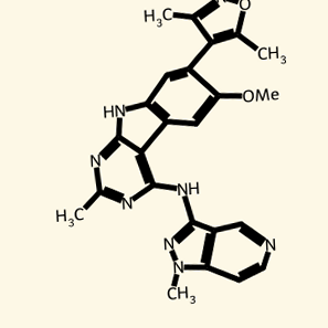 COc1cc2c(cc1-c1c(C)noc1C)[nH]c1nc(C)nc(Nc3nn(C)c4ccncc34)c12